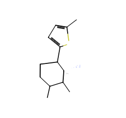 Cc1ccc(C2CCC(C)C(C)[C@H]2N)s1